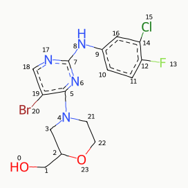 OCC1CN(c2nc(Nc3ccc(F)c(Cl)c3)ncc2Br)CCO1